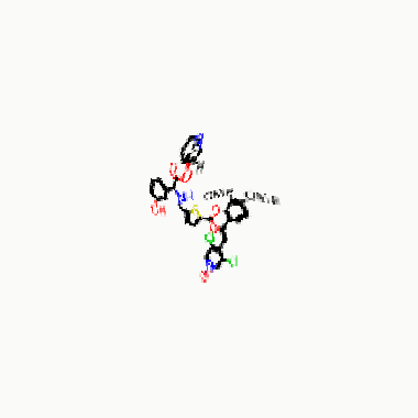 COc1ccc(C(Cc2c(Cl)c[n+]([O-])cc2Cl)OC(=O)c2ccc(CN[C@H](C(=O)O[C@H]3CN4CCC3CC4)c3cccc(O)c3)s2)cc1OC